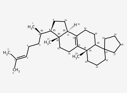 CC(C)=CCC[C@@H](C)[C@H]1CC[C@H]2C3=C(CC[C@]12C)[C@@]1(C)CCCC2(CCCC2)C1CC3